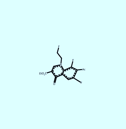 CCOC(=O)c1cn(CCF)c2c(F)c(C(C)=O)c(F)cc2c1=O